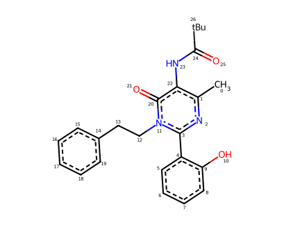 Cc1nc(-c2ccccc2O)n(CCc2ccccc2)c(=O)c1NC(=O)C(C)(C)C